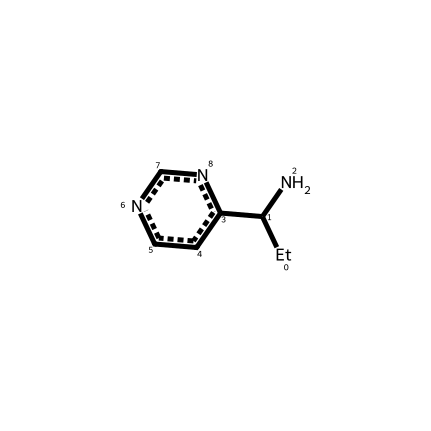 CCC(N)c1ccncn1